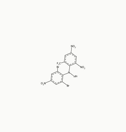 CCCN(c1c(Br)cc([N+](=O)[O-])cc1Br)c1c([N+](=O)[O-])cc([N+](=O)[O-])cc1C(F)(F)F